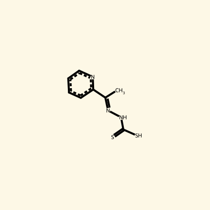 C/C(=N\NC(=S)S)c1ccccn1